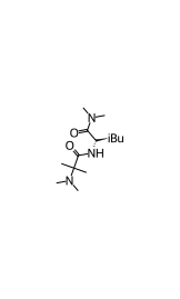 CC[C@H](C)[C@H](NC(=O)C(C)(C)N(C)C)C(=O)N(C)C